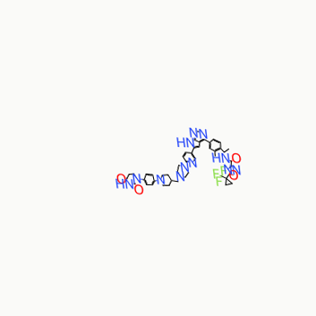 Cc1cc(-c2ncnc3[nH]c(-c4ccc(N5CCN(CC6CCN(c7ccc(N8CCC(=O)NC8=O)cc7)CC6)CC5)nc4)cc23)ccc1C(C)NC(=O)c1noc(C2(C(F)(F)F)CC2)n1